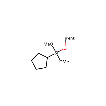 CCCC(C)O[Si](OC)(OC)C1CCCC1